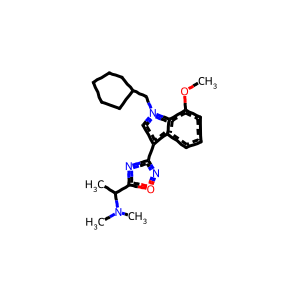 COc1cccc2c(-c3noc(C(C)N(C)C)n3)cn(CC3CCCCC3)c12